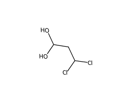 OC(O)CC(Cl)Cl